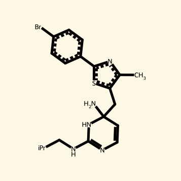 Cc1nc(-c2ccc(Br)cc2)sc1CC1(N)C=CN=C(NCC(C)C)N1